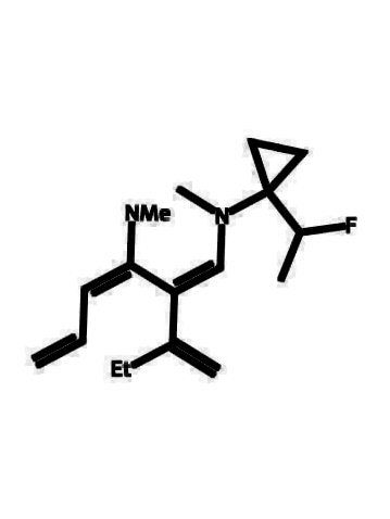 C=C/C=C(NC)\C(=C/N(C)C1(C(C)F)CC1)C(=C)CC